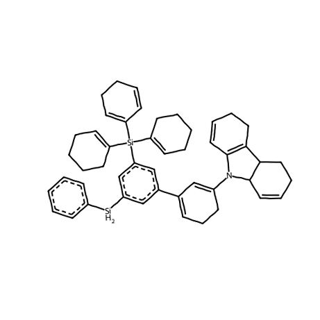 C1=CC([Si](C2=CCCCC2)(C2=CCCCC2)c2cc([SiH2]c3ccccc3)cc(C3=CCCC(N4C5=C(CCC=C5)C5CCC=CC54)=C3)c2)=CCC1